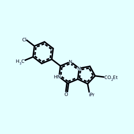 CCOC(=O)c1cn2nc(-c3ccc(Cl)c(C)c3)[nH]c(=O)c2c1C(C)C